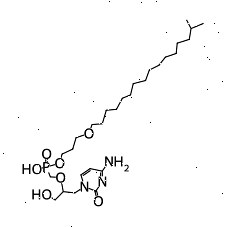 CC(C)CCCCCCCCCCCCCCOCCCOP(=O)(O)COC(CO)Cn1ccc(N)nc1=O